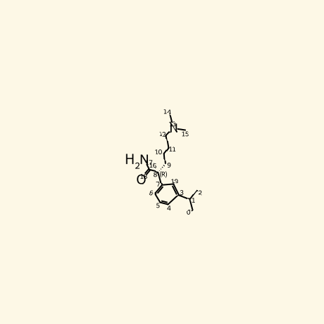 CC(C)c1cccc([C@@H](CCCCN(C)C)C(N)=O)c1